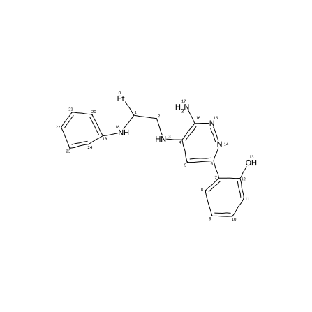 CCC(CNc1cc(-c2ccccc2O)nnc1N)Nc1ccccc1